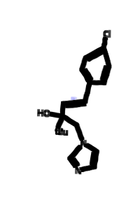 CC(C)(C)C(O)(/C=C/c1ccc(Cl)cc1)Cn1ccnc1